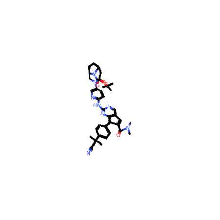 CN(C)C(=O)C1=Cc2cnc(Nc3ccc(N4CC5CCC(CC4=O)N5C(=O)OC(C)(C)C)cn3)nc2C1c1ccc(C(C)(C)C#N)cc1